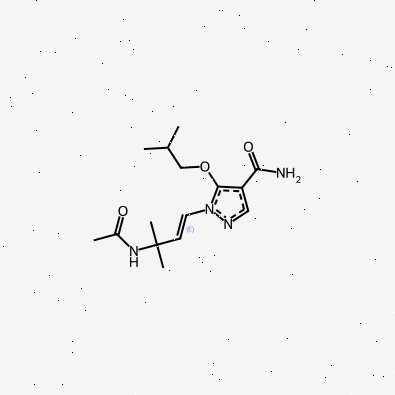 CC(=O)NC(C)(C)/C=C/n1ncc(C(N)=O)c1OCC(C)C